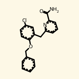 NC(=O)c1cccc(Cc2cc(Cl)ccc2OCc2ccccc2)n1